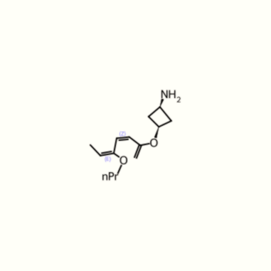 C=C(/C=C\C(=C/C)OCCC)O[C@H]1C[C@@H](N)C1